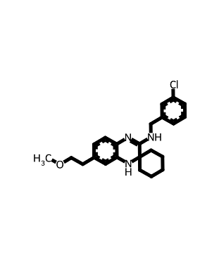 COCCc1ccc2c(c1)NC1(CCCCC1)C(NCc1cccc(Cl)c1)=N2